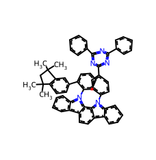 CC1(C)CC(C)(C)c2cc(-c3ccccc3-n3c4ccccc4c4ccc5c6ccccc6n(-c6ccc(-c7nc(-c8ccccc8)nc(-c8ccccc8)n7)cc6)c5c43)ccc21